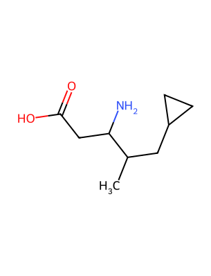 CC(CC1CC1)C(N)CC(=O)O